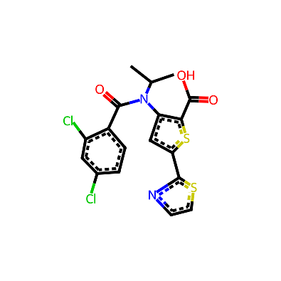 CC(C)N(C(=O)c1ccc(Cl)cc1Cl)c1cc(-c2nccs2)sc1C(=O)O